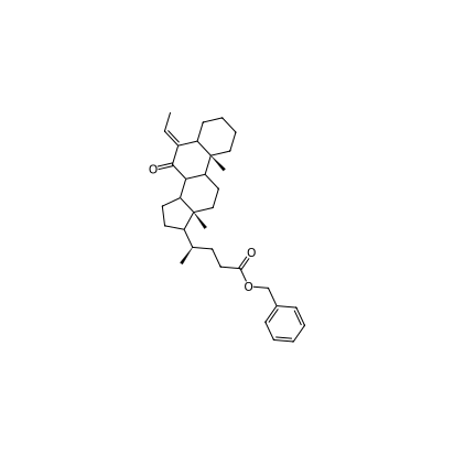 C/C=C1/C(=O)C2C(CC[C@@]3(C)C2CCC3[C@H](C)CCC(=O)OCc2ccccc2)[C@@]2(C)CCCCC12